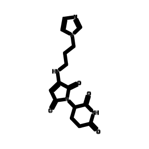 O=C1CCC(N2C(=O)C=C(NCCCn3ccnc3)C2=O)C(=O)N1